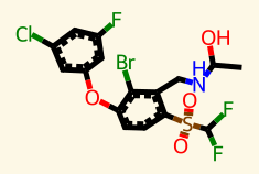 CC(O)NCc1c(S(=O)(=O)C(F)F)ccc(Oc2cc(F)cc(Cl)c2)c1Br